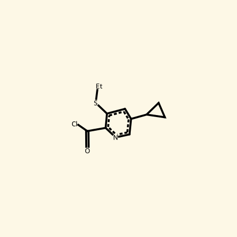 CCSc1cc(C2CC2)cnc1C(=O)Cl